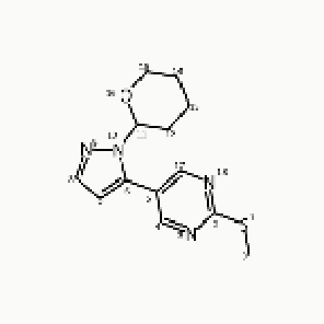 CSc1ncc(-c2ccnn2C2CCCCO2)cn1